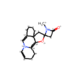 CN1C(=O)CC12CC13CCCCC1=CN1C=CCCC1=C3O2